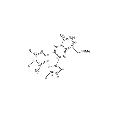 CNCc1n[nH]c(=O)c2ccc(-c3cnn(C)c3-c3ccc(C)c(C)c3C#N)cc12